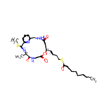 CCCCCCCC(=O)SCC/C=C/[C@@H]1CC(=O)NCc2cccc(n2)/C(SC)=N/[C@H](C)C(=O)NCC(=O)O1